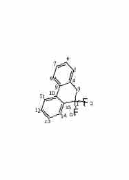 FC1(F)Cc2ccccc2-c2ccccc21